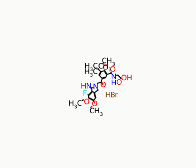 Br.CCOc1cc2c(c(F)c1OCC)C(=N)N(CC(=O)c1cc(C(=O)NCC(=O)O)c(OCC)c(C(C)(C)C)c1)C2